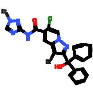 CCc1c(C(O)(c2ccccc2)c2ccccc2)nn2cc(Cl)c(C(=O)Nc3ncn(CC)n3)cc12